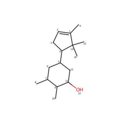 CC1=CCC(C2CC(C)C(C)C(O)C2)C1(C)C